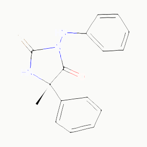 C[C@@]1(c2ccccc2)NC(=S)N(Nc2ccccc2)C1=O